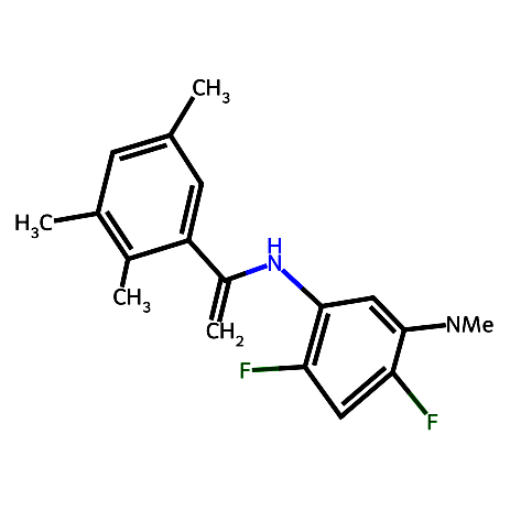 C=C(Nc1cc(NC)c(F)cc1F)c1cc(C)cc(C)c1C